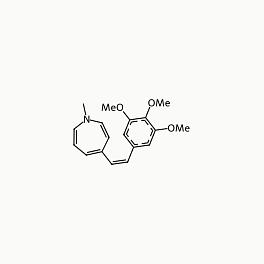 COc1cc(/C=C\C2=CC=CN(C)C=C2)cc(OC)c1OC